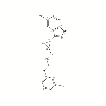 Fc1cccc(CCNCC2CC2c2c[nH]c3ccc(F)cc23)c1